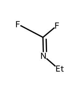 CCN=C(F)F